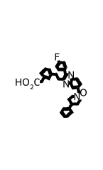 O=C(O)Cc1cccc(CCc2nc3cc(C(=O)N4CCC(c5ccccc5)CC4)ccc3nc2-c2ccc(F)cc2)c1